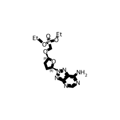 CCOP(=O)(CO[C@@H]1CC[C@H](n2nc3ncnc(N)c3n2)O1)OCC